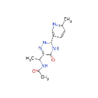 CC(=O)NC(C)c1nnc(-c2ccc(C)nc2)[nH]c1=O